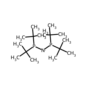 CC(C)(C)P([N]P(C(C)(C)C)C(C)(C)C)C(C)(C)C